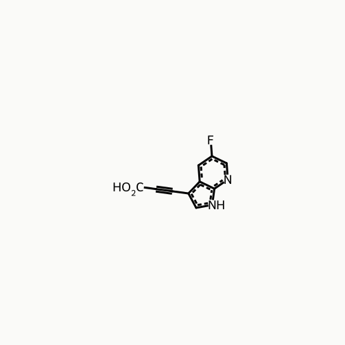 O=C(O)C#Cc1c[nH]c2ncc(F)cc12